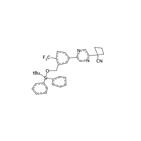 CC(C)(C)[Si](OCc1cc(-c2cnc(C3(C#N)CCC3)cn2)ccc1C(F)(F)F)(c1ccccc1)c1ccccc1